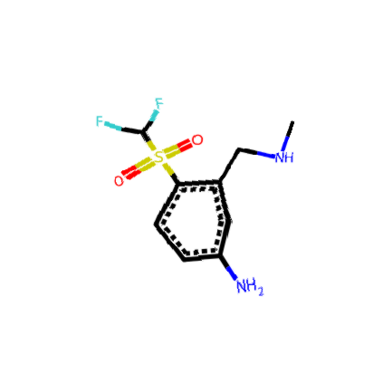 CNCc1cc(N)ccc1S(=O)(=O)C(F)F